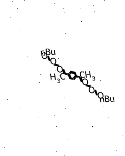 CCCCOCCOCCO/C=C(\C)c1ccc(/C(C)=C/OCCOCCOCCCC)cc1